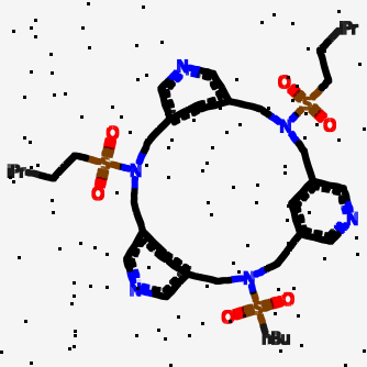 CCCCS(=O)(=O)N1Cc2cncc(c2)CN(S(=O)(=O)CCC(C)C)Cc2cncc(c2)CN(S(=O)(=O)CCC(C)C)Cc2cncc(c2)C1